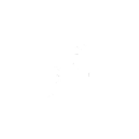 O=C(O)C1CC2(C1)CN(C(=O)[C@H]1C[C@@](c3ccc(C(F)(C(F)(F)F)C(F)(F)F)cc3)(S(=O)(=O)c3ccc(F)cc3)C1)C2